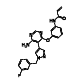 C=CC(=O)Nc1cccc(Oc2ncnc(N)c2-c2cnn(Cc3cccc(F)c3)c2)c1